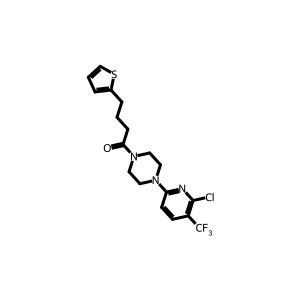 O=C(CCCc1cccs1)N1CCN(c2ccc(C(F)(F)F)c(Cl)n2)CC1